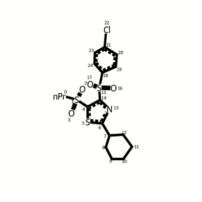 CCCS(=O)(=O)c1sc(C2CCCCC2)nc1S(=O)(=O)c1ccc(Cl)cc1